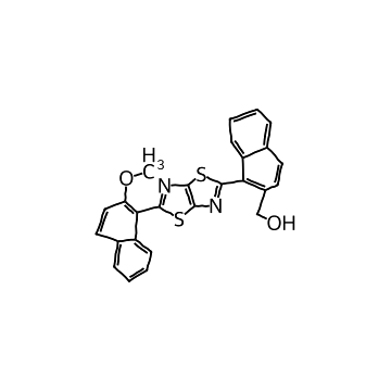 COc1ccc2ccccc2c1-c1nc2sc(-c3c(CO)ccc4ccccc34)nc2s1